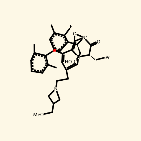 COCC1CN(CCC2=CN3C(=C4O[N+]4([C@@H](CC(=O)O)c4cc(-c5c(C)cccc5C)cc(C)c4F)C(=O)[C@@H]3CC(C)C)C(F)=C2)C1